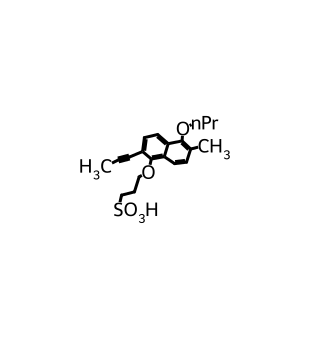 CC#Cc1ccc2c(OCCC)c(C)ccc2c1OCCCS(=O)(=O)O